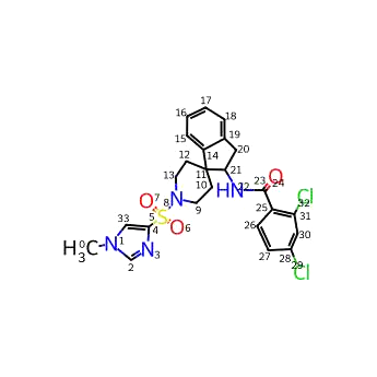 Cn1cnc(S(=O)(=O)N2CCC3(CC2)c2ccccc2CC3NC(=O)c2ccc(Cl)cc2Cl)c1